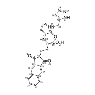 CC(C)C[C@H](N[C@H](CCN1C(=O)c2cc3ccccc3cc2C1=O)C(=O)O)C(=O)NCc1nnn[nH]1